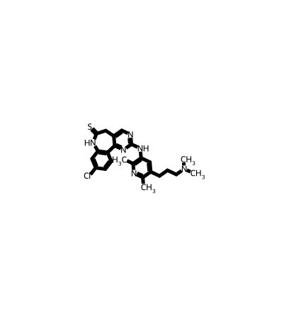 Cc1nc(C)c(Nc2ncc3c(n2)-c2ccc(Cl)cc2NC(=S)C3)cc1CCCN(C)C